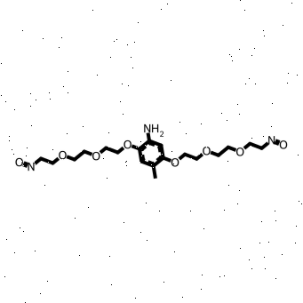 Cc1cc(OCCOCCOCCN=O)c(N)cc1OCCOCCOCCN=O